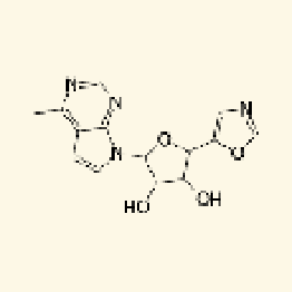 Cc1ncnc2c1ccn2C1OC(c2cnco2)C(O)C1O